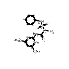 COc1cc(OC)nc(NC(=O)N(C)S(=O)(=O)Nc2ccccc2)n1